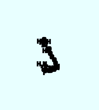 NCCCCC(NC(=O)c1cccc(-n2cc(COCCOCCOCCOCCNC(=O)CCCC[C@@H]3SC[C@@H]4NC(=O)N[C@@H]43)nn2)c1)C(=O)COc1c(F)cccc1F